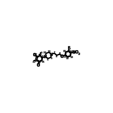 Cn1c(N2CCN(CCCOc3ccc([N+](=O)[O-])c(F)c3)CC2)cc(=O)n(C)c1=O